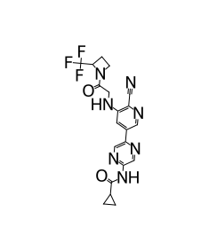 N#Cc1ncc(-c2cnc(NC(=O)C3CC3)cn2)cc1NCC(=O)N1CCC1C(F)(F)F